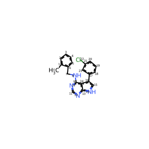 Cc1ccccc1CNc1ncnc2[nH]cc(-c3cccc(Cl)c3)c12